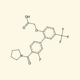 O=C(O)COc1ccc(C(F)(F)F)cc1-c1ccc(C(=O)N2CCCC2)c(F)c1